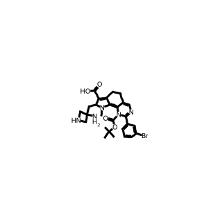 CN1C2=C3C(=CN=C(c4cccc(Br)c4)N3C(=O)OC(C)(C)C)CCC2=C(C(=O)O)C1CC1(N)CNC1